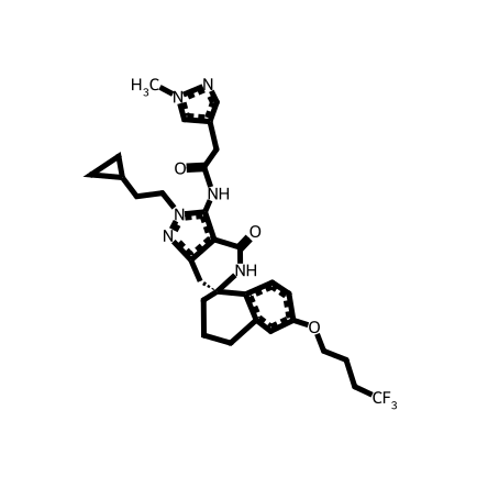 Cn1cc(CC(=O)Nc2c3c(nn2CCC2CC2)C[C@]2(CCCc4cc(OCCCC(F)(F)F)ccc42)NC3=O)cn1